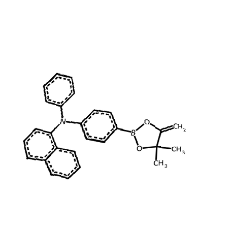 C=C1OB(c2ccc(N(c3ccccc3)c3cccc4ccccc34)cc2)OC1(C)C